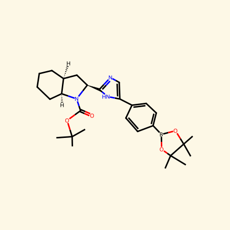 CC(C)(C)OC(=O)N1[C@H](c2ncc(-c3ccc(B4OC(C)(C)C(C)(C)O4)cc3)[nH]2)C[C@@H]2CCCC[C@@H]21